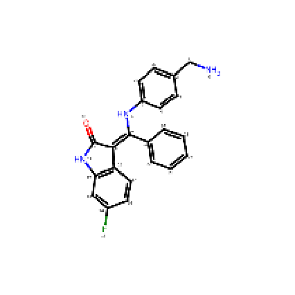 NCc1ccc(N/C(=C2\C(=O)Nc3cc(F)ccc32)c2ccccc2)cc1